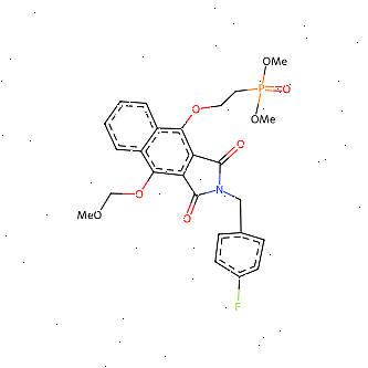 COCOc1c2c(c(OCCP(=O)(OC)OC)c3ccccc13)C(=O)N(Cc1ccc(F)cc1)C2=O